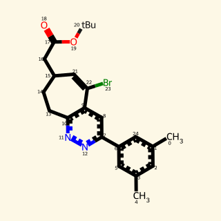 Cc1cc(C)cc(-c2cc3c(nn2)CCC(CC(=O)OC(C)(C)C)C=C3Br)c1